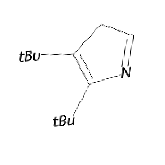 CC(C)(C)C1=C(C(C)(C)C)N=CC1